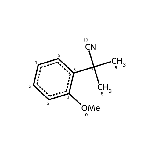 COc1ccccc1C(C)(C)C#N